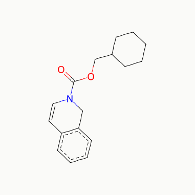 O=C(OCC1CCCCC1)N1C=Cc2ccccc2C1